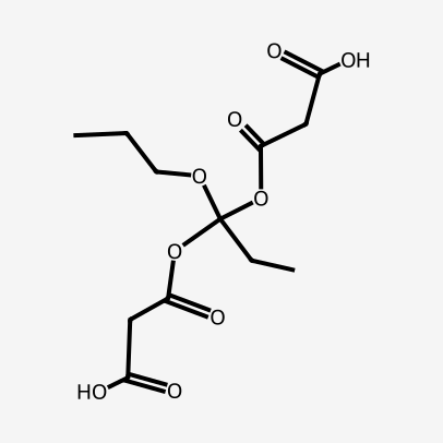 CCCOC(CC)(OC(=O)CC(=O)O)OC(=O)CC(=O)O